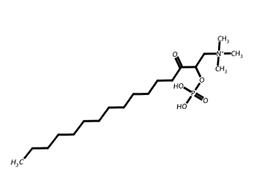 CCCCCCCCCCCCCC(=O)C(C[N+](C)(C)C)OP(=O)(O)O